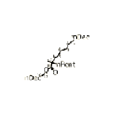 CCCCCCCCCCCCCCCCC(C)(CCCCC)C(=O)OCCCCCCCCCCC